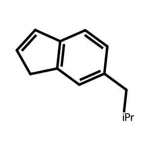 CC(C)Cc1ccc2c(c1)CC=C2